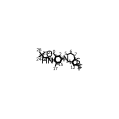 Cc1cc(N2CCCc3sc(F)cc3C2)cc(C)c1NC(=O)CC(C)(C)C